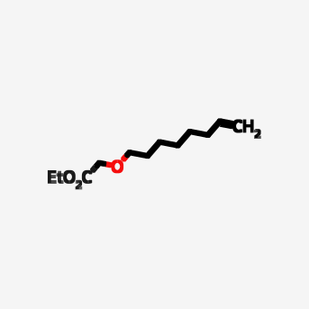 C=CCCCCCCOCC(=O)OCC